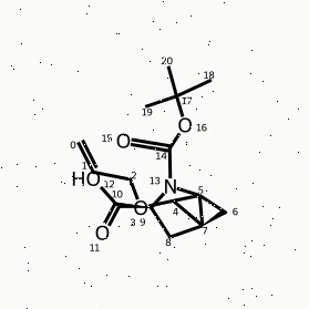 C=CCOC1C23C[C@@]12C[C@@H](C(=O)O)N3C(=O)OC(C)(C)C